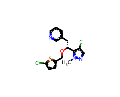 Cn1ncc(Cl)c1[C@@H](Cc1cccnc1)OCc1ccc(Cl)s1